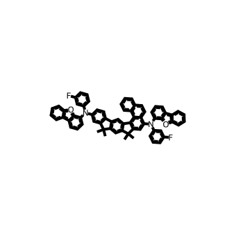 CC1(C)c2cc(N(c3cccc(F)c3)c3cccc4c3oc3ccccc34)ccc2-c2cc3c(cc21)C(C)(C)c1cc(N(c2cccc(F)c2)c2cccc4c2oc2ccccc24)c2ccc4ccccc4c2c1-3